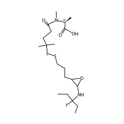 CCC(I)(CC)NC1OC1CCCSSC(C)(C)CCC(=O)N(C)[C@@H](C)C(=O)O